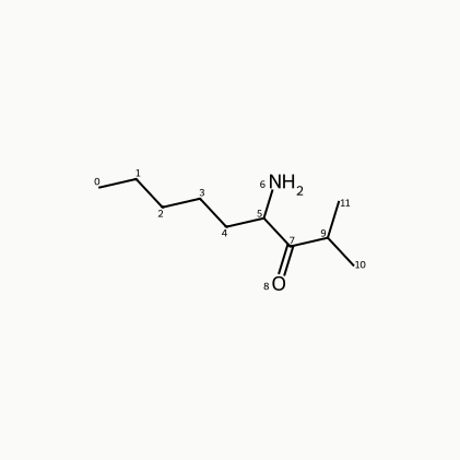 CCCCCC(N)C(=O)C(C)C